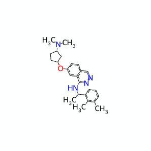 Cc1cccc([C@@H](C)Nc2nncc3ccc(O[C@H]4CC[C@H](N(C)C)C4)cc23)c1C